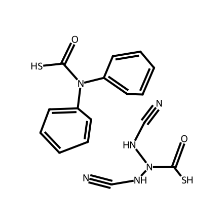 N#CNN(NC#N)C(=O)S.O=C(S)N(c1ccccc1)c1ccccc1